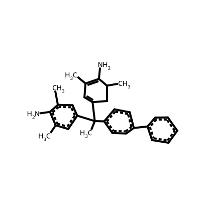 CC1=C(N)C(C)CC(C(C)(c2ccc(-c3ccccc3)cc2)c2cc(C)c(N)c(C)c2)=C1